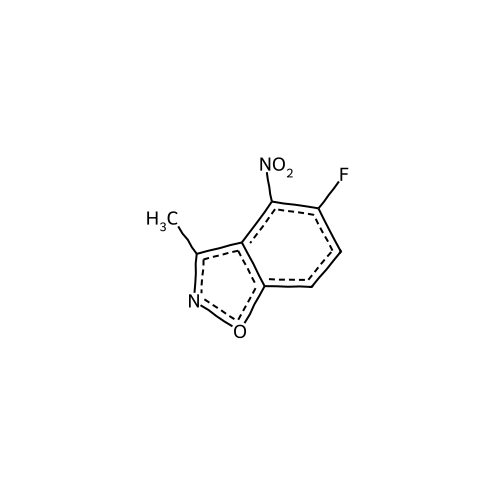 Cc1noc2ccc(F)c([N+](=O)[O-])c12